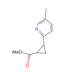 COC(=O)C1CC1c1ccc(C)cn1